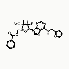 CC(=O)O[C@@]1(C)[C@@H](COC(=O)c2ccccc2)OC(n2cnc3c(NCc4ccco4)ncnc32)[C@]1(C)F